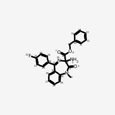 CN1C(=O)C(N)(C(=O)OCc2ccccc2)N=C(c2ccc(F)cc2)c2ccccc21